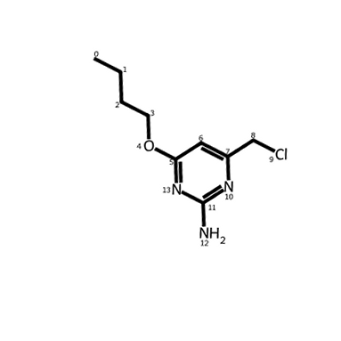 CCCCOc1cc(CCl)nc(N)n1